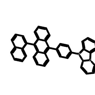 C1=CB2N(C=C1)c1ccccc1N2c1ccc(-c2c3ccccc3c(-c3cccc4ccccc34)c3ccccc23)cc1